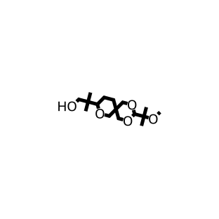 COC(C)(C)C1OCC2(CCC(C(C)(C)CO)OC2)CO1